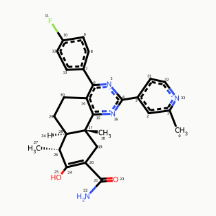 Cc1cc(-c2nc(-c3ccc(F)cc3)c3c(n2)[C@]2(C)CC(C(N)=O)=C(O)[C@H](C)[C@H]2CC3)ccn1